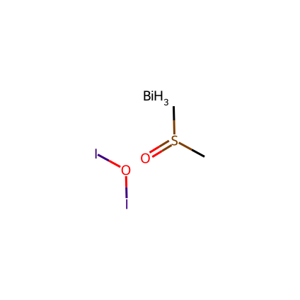 CS(C)=O.IOI.[BiH3]